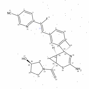 N#Cc1ccc(/C(F)=C/c2ccc3c(c2)[C@@]2(C3)N=C(N)S[C@@]3(C(=O)N4CC[C@@H](O)C4)C[C@H]32)nc1